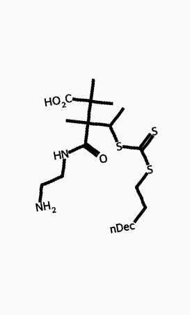 CCCCCCCCCCCCSC(=S)SC(C)C(C)(C(=O)NCCN)C(C)(C)C(=O)O